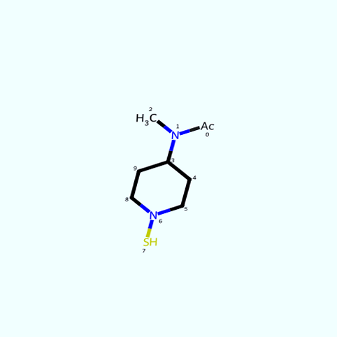 CC(=O)N(C)C1CCN(S)CC1